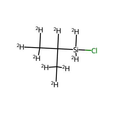 [2H]C([2H])([2H])C([2H])(C([2H])([2H])[2H])[Si]([2H])([2H])Cl